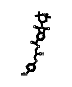 CCCCc1ccc(OCC(O)COC(=O)c2ccc3c(c2)C(=O)N(C2CC(C)(C)NC(C)(C)C2)C3=O)cc1